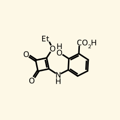 CCOc1c(Nc2cccc(C(=O)O)c2O)c(=O)c1=O